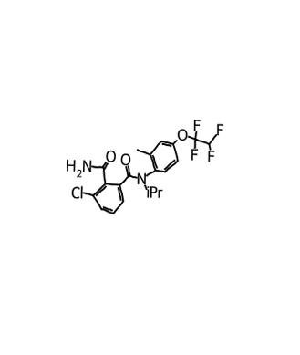 Cc1cc(OC(F)(F)C(F)F)ccc1N(C(=O)c1cccc(Cl)c1C(N)=O)C(C)C